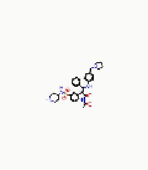 CC(=O)N1C(=O)/C(=C(\Nc2ccc(CN3CCCC3)cc2)c2ccccc2)c2cc(S(=O)(=O)NC3CCNCC3)ccc21